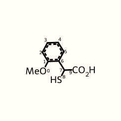 COc1ccccc1C(S)C(=O)O